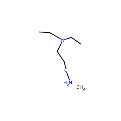 C.CCN(CC)CCCN